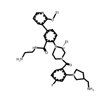 CCOc1ncccc1-c1ccc(N2CCN(C(=O)c3ccc(F)cc3N3CCC(CN)C3)C[C@H]2CC)c(C(=O)NCCN)c1